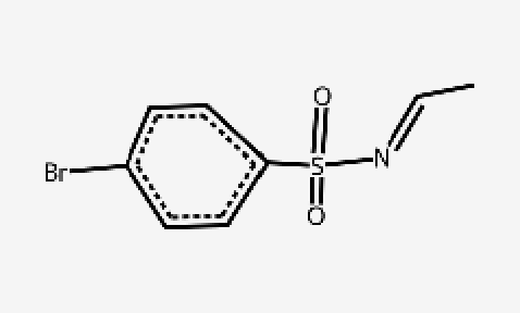 C/C=N/S(=O)(=O)c1ccc(Br)cc1